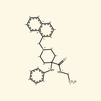 O=C(O)CNC(=O)C1(Nc2ccccc2)CCN(Cc2cccc3ccccc23)CC1